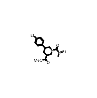 CCc1ccc(C2CC(C(=O)OC)CN(C(=O)N(C)CC)C2)cc1